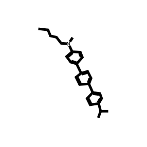 CCCCCN(C)c1ccc(-c2ccc(-c3ccc(C(C)C)cc3)cc2)cc1